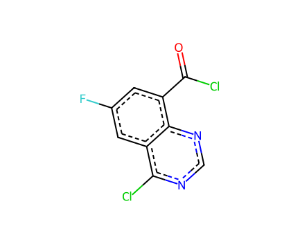 O=C(Cl)c1cc(F)cc2c(Cl)ncnc12